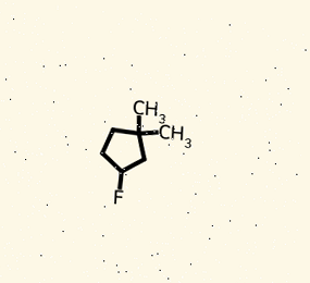 CC1(C)CCC(F)C1